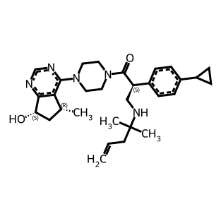 C=CCC(C)(C)NC[C@@H](C(=O)N1CCN(c2ncnc3c2[C@H](C)C[C@@H]3O)CC1)c1ccc(C2CC2)cc1